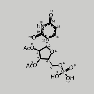 CC(=O)O[C@@H]1[C@H](OC(C)=O)[C@@H](COP(=O)(O)O)O[C@H]1n1ccc(=O)[nH]c1=O